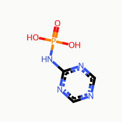 O=P(O)(O)Nc1ncncn1